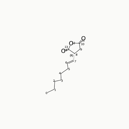 CCCCCCC=C[C@H]1CC(=O)OC1=O